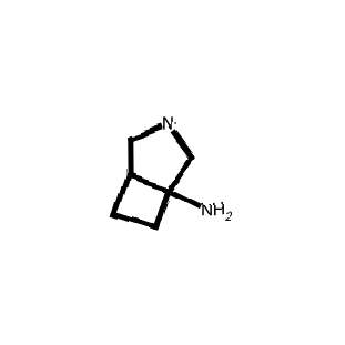 NC12CCC1C[N]C2